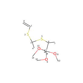 C=CSC(C)SC(C)[Si](OC)(OC)OC